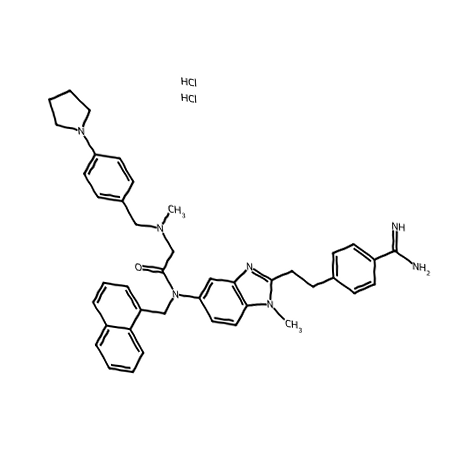 CN(CC(=O)N(Cc1cccc2ccccc12)c1ccc2c(c1)nc(CCc1ccc(C(=N)N)cc1)n2C)Cc1ccc(N2CCCC2)cc1.Cl.Cl